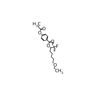 CCOCCCCCC(OC(=O)c1ccc(OC(=O)CC)cc1)C(F)(F)F